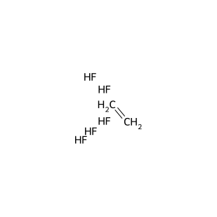 C=C.F.F.F.F.F